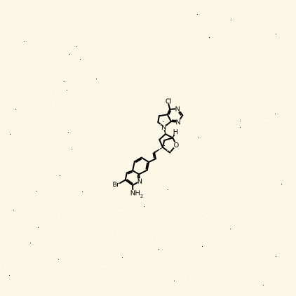 Nc1nc2cc(/C=C/[C@]34CO[C@H](C3)[C@H](N3CCc5c(Cl)ncnc53)C4)ccc2cc1Br